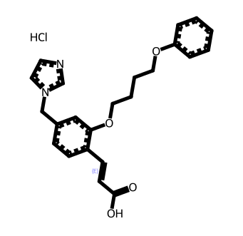 Cl.O=C(O)/C=C/c1ccc(Cn2ccnc2)cc1OCCCCOc1ccccc1